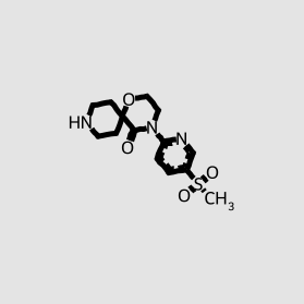 CS(=O)(=O)c1ccc(N2CCOC3(CCNCC3)C2=O)nc1